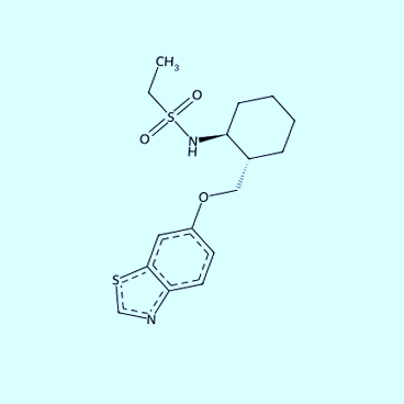 CCS(=O)(=O)N[C@H]1CCCC[C@@H]1COc1ccc2ncsc2c1